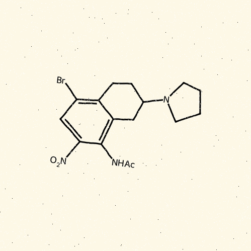 CC(=O)Nc1c([N+](=O)[O-])cc(Br)c2c1CC(N1CCCC1)CC2